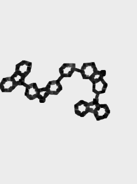 C1=CC(n2c3ccccc3c3ccccc32)Cc2c1oc1ccc(-c3cccc(-c4ccc5oc6ccc(-n7c8ccccc8c8ccccc87)cc6c5c4)c3)cc21